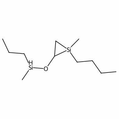 CCCC[Si]1(C)CC1O[SiH](C)CCC